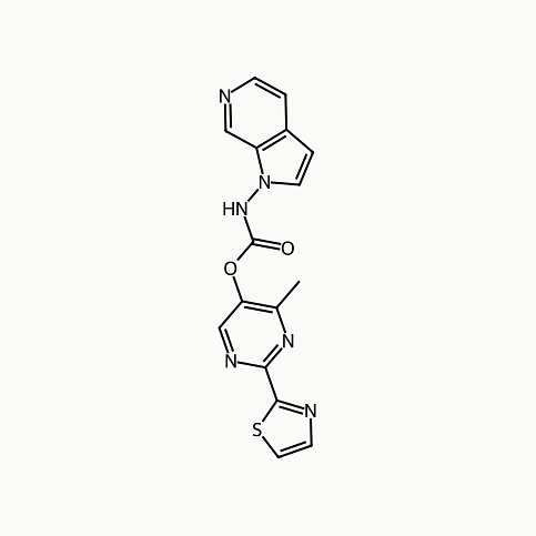 Cc1nc(-c2nccs2)ncc1OC(=O)Nn1ccc2ccncc21